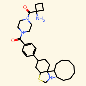 NC1(C(=O)N2CCN(C(=O)c3ccc(C4CCC5(C6CCCCCCCC6)NCSC5C4)cc3)CC2)CCC1